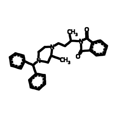 CC1CN(C(c2ccccc2)c2ccccc2)CCN1CCC(C)N1C(=O)c2ccccc2C1=O